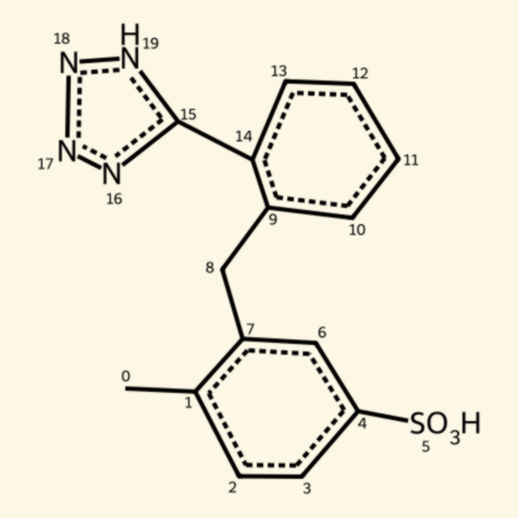 Cc1ccc(S(=O)(=O)O)cc1Cc1ccccc1-c1nnn[nH]1